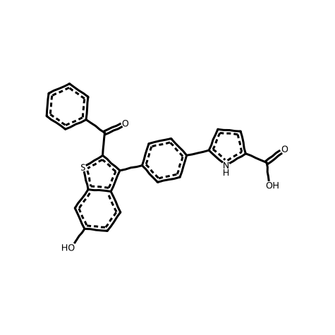 O=C(O)c1ccc(-c2ccc(-c3c(C(=O)c4ccccc4)sc4cc(O)ccc34)cc2)[nH]1